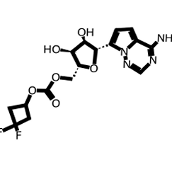 Nc1ncnn2c([C@@H]3O[C@H](COC(=O)OC4CC(F)(F)C4)[C@@H](O)[C@H]3O)ccc12